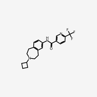 O=C(Nc1ccc2c(c1)CCN(C1CCC1)CC2)c1ccc(C(F)(F)F)nc1